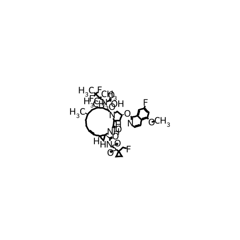 COc1cc(F)cc2c(O[C@@H]3C[C@H]4C(=O)N[C@]5(C(=O)NS(=O)(=O)C6(CF)CC6)C[C@H]5C=CCC[C@@H](C)C[C@@H](C)[C@H](N(C(=O)O)C(C)(C)C(C)(F)F)C(=O)N4C3)nccc12